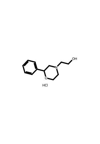 Cl.OCCN1CCOC(c2ccccc2)C1